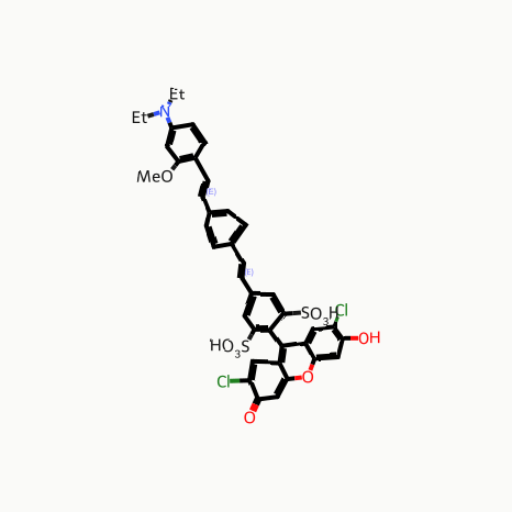 CCN(CC)c1ccc(/C=C/c2ccc(/C=C/c3cc(S(=O)(=O)O)c(-c4c5cc(Cl)c(=O)cc-5oc5cc(O)c(Cl)cc45)c(S(=O)(=O)O)c3)cc2)c(OC)c1